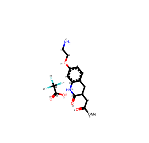 COC(=O)CC1Cc2ccc(OCCN)cc2NC1=O.O=C(O)C(F)(F)F